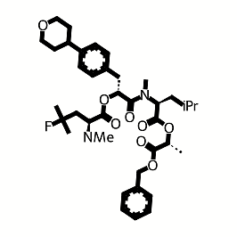 CN[C@@H](CC(C)(C)F)C(=O)O[C@H](Cc1ccc(C2CCOCC2)cc1)C(=O)N(C)[C@@H](CC(C)C)C(=O)O[C@H](C)C(=O)OCc1ccccc1